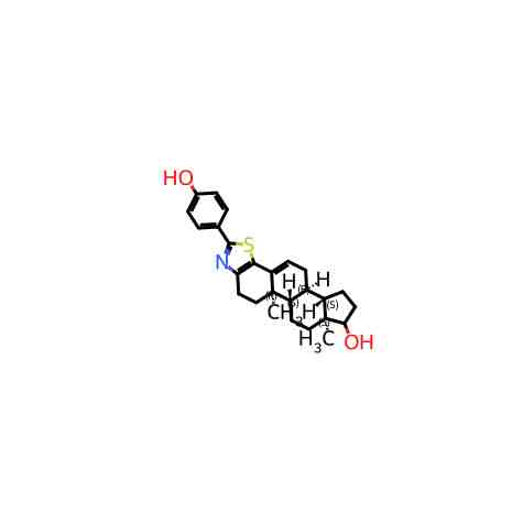 C[C@]12CCc3nc(-c4ccc(O)cc4)sc3C1=CC[C@@H]1[C@@H]2CC[C@]2(C)C(O)CC[C@@H]12